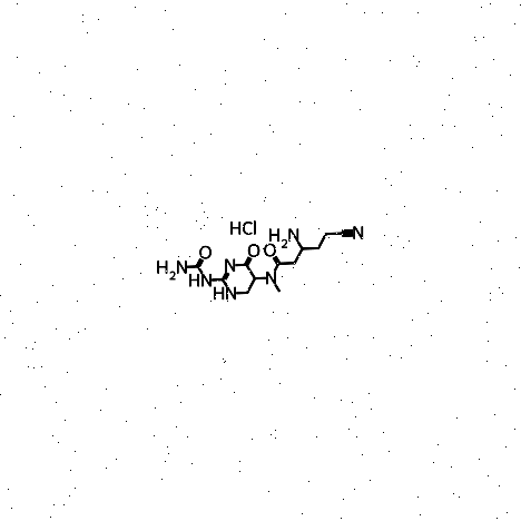 CN(C(=O)CC(N)CCC#N)C1CNC(NC(N)=O)=NC1=O.Cl